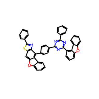 c1ccc(-c2nc(-c3ccc(-c4c5nc(-c6ccccc6)sc5cc5oc6ccccc6c45)cc3)nc(-c3cccc4oc5ccccc5c34)n2)cc1